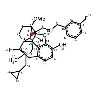 CO[C@]12CC[C@@]3(C[C@@H]1COCc1cccc(F)c1)[C@H]1Cc4ccc(O)c5c4[C@@]3(CC[N+]1(C)CC1CC1)[C@H]2O5